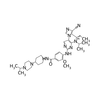 CC[C@@H]1c2c(C#N)ncn2-c2cnc(Nc3ccc(C(=O)NC4CCC(N5CCN(C(C)C)CC5)CC4)cc3OC)nc2N1C(C)C